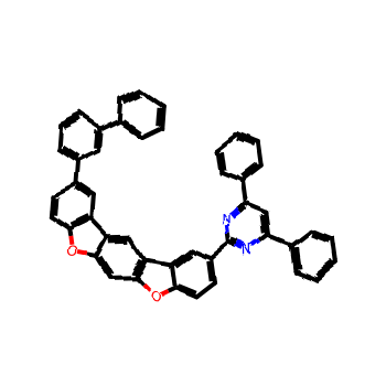 c1ccc(-c2cccc(-c3ccc4oc5cc6oc7ccc(-c8nc(-c9ccccc9)cc(-c9ccccc9)n8)cc7c6cc5c4c3)c2)cc1